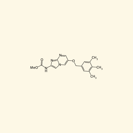 COC(=O)Nc1cn2cc(OCc3cc(C)c(C)c(C)c3)cnc2n1